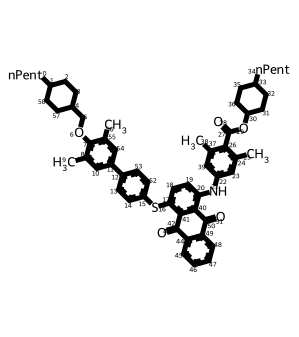 CCCCCC1CCC(COc2c(C)cc(-c3ccc(Sc4ccc(Nc5cc(C)c(C(=O)OC6CCC(CCCCC)CC6)c(C)c5)c5c4C(=O)c4ccccc4C5=O)cc3)cc2C)CC1